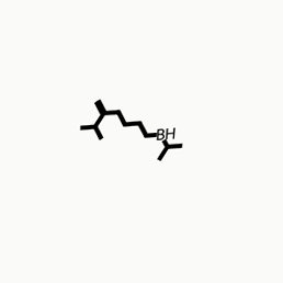 C=C(CCCCBC(C)C)C(C)C